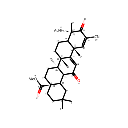 COC(=O)[C@]12CCC(C)(C)CC1C1C(=O)C=C3[C@@]4(C)C=C(C#N)C(=O)[C@@](C)(NC(C)=O)C4CC[C@@]3(C)[C@]1(C)CC2